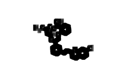 CC(C)CCOC(COc1ccccc1C(=O)O)c1cccc(/C=C/c2ccc3ccc(Cl)cc3n2)c1